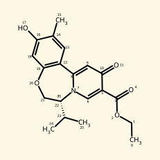 CCOC(=O)c1cn2c(cc1=O)-c1cc(C)c(O)cc1OC[C@H]2C(C)C